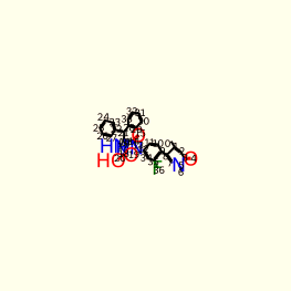 Cc1cc(=O)n(C)cc1-c1ccc(NC(=O)[C@@H](NC(=O)O)C(c2ccccc2)c2ccccc2)cc1F